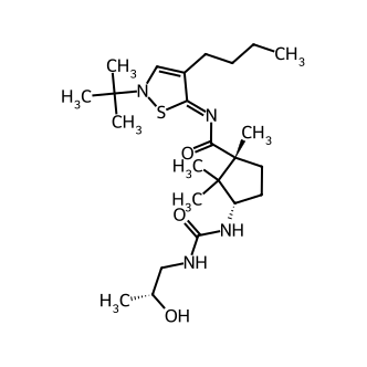 CCCCc1cn(C(C)(C)C)sc1=NC(=O)[C@]1(C)CC[C@H](NC(=O)NC[C@@H](C)O)C1(C)C